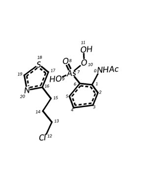 CC(=O)Nc1ccccc1[As](=O)(O)OO.ClCCCc1cscn1